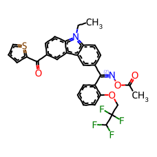 CCn1c2ccc(C(=O)c3cccs3)cc2c2cc(/C(=N/OC(C)=O)c3ccccc3OCC(F)(F)C(F)F)ccc21